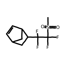 CS(=O)(=O)C(F)(F)C(F)(F)C1CC2C=CC1C2